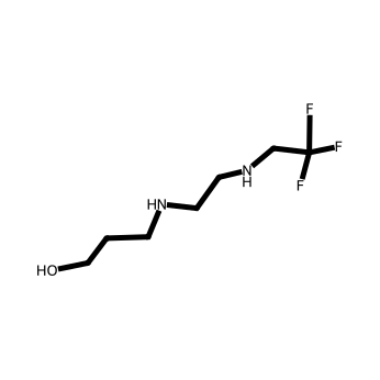 OCCCNCCNCC(F)(F)F